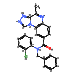 Cc1nc2ccc(C(=O)N(Cc3ccccc3)c3ccccc3Cl)cc2n2cnnc12